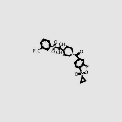 CC(C)(C1CCN(C(=O)c2ccc(S(=O)(=O)C3CC3)c(F)c2)CC1)S(=O)(=O)c1cccc(C(F)(F)F)c1